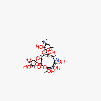 CC[C@H]1OC(=O)[C@H](C)[C@@H](O[C@H]2C[C@@](C)(OC)[C@@H](O)[C@H](C)O2)C(C)[C@@H](O[C@@H]2O[C@H](C)C[C@H](N(C)C)[C@H]2O)[C@](C)(O)C[C@@H](C)/C(=N/O)[C@@H](C)[C@@H](O)[C@]1(C)O